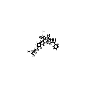 O=C(Cc1ccccc1)N[C@@H]1C(=O)N2C(C(=O)O)=C(Sc3ccc(CSC4=NCCN4)cc3I)CS[C@H]12